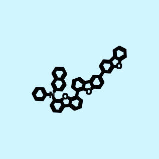 c1ccc(N(c2ccc3ccccc3c2)c2cccc3c2oc2c(-c4cccc5c4oc4ccc(-c6ccc7c(c6)oc6ccccc67)cc45)cccc23)cc1